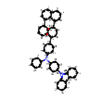 c1ccc(-c2cccc3cccc(-c4ccc(-c5ccc(N(c6ccccc6)c6ccc(-n7c8ccccc8c8ccccc87)cc6)cc5)cc4)c23)cc1